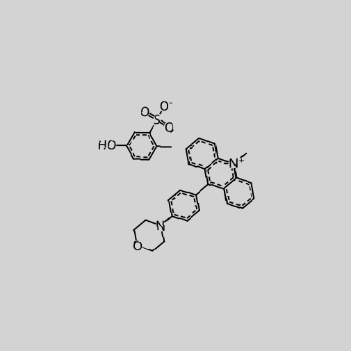 C[n+]1c2ccccc2c(-c2ccc(N3CCOCC3)cc2)c2ccccc21.Cc1ccc(O)cc1S(=O)(=O)[O-]